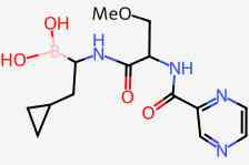 COCC(NC(=O)c1cnccn1)C(=O)NC(CC1CC1)B(O)O